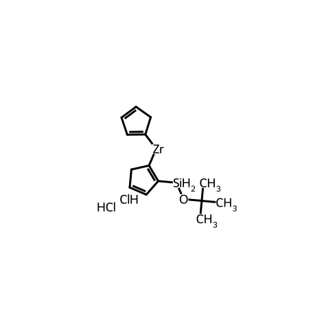 CC(C)(C)O[SiH2]C1=[C]([Zr][C]2=CC=CC2)CC=C1.Cl.Cl